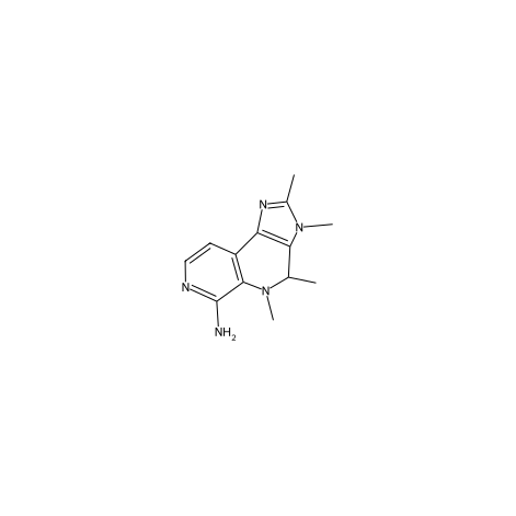 Cc1nc2c(n1C)C(C)N(C)c1c-2ccnc1N